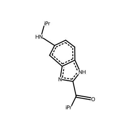 CC(C)Nc1ccc2[nH]c(C(=O)C(C)C)nc2c1